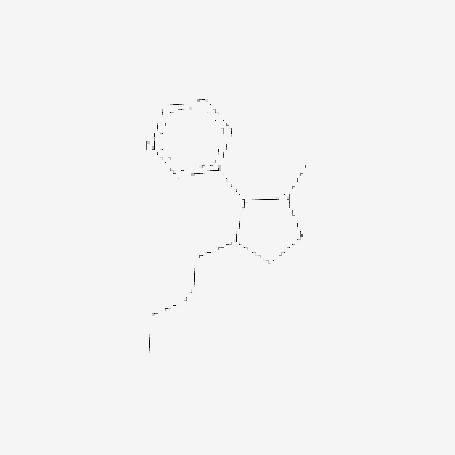 CCOCC1CCN(C)C1c1cccnc1